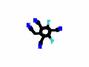 N#CCc1c(C#N)c(F)c(C#N)c(F)c1C#N